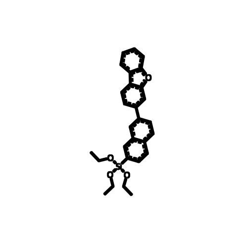 CCO[Si](OCC)(OCC)c1ccc2ccc(-c3ccc4c(c3)oc3ccccc34)cc2c1